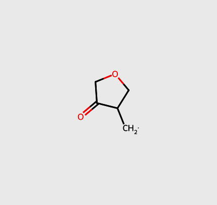 [CH2]C1COCC1=O